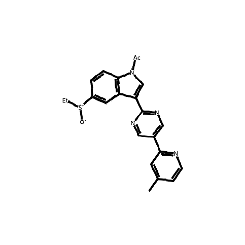 CC[S+]([O-])c1ccc2c(c1)c(-c1ncc(-c3cc(C)ccn3)cn1)cn2C(C)=O